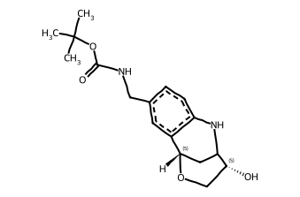 CC(C)(C)OC(=O)NCc1ccc2c(c1)[C@@H]1CC(N2)[C@H](O)CO1